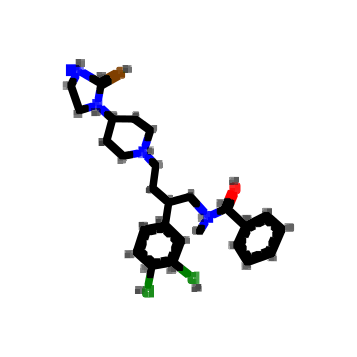 CN(CC(CCN1CCC(N2CCNC2=S)CC1)c1ccc(Cl)c(Cl)c1)C(=O)c1ccccc1